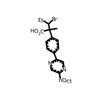 CCCCCCCCc1cnc(-c2ccc(C(C)(C(=O)O)C(Br)CC)cc2)cn1